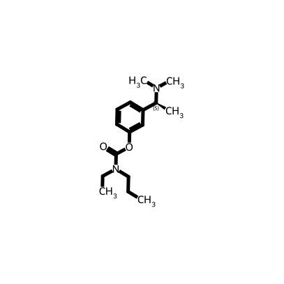 CCCN(CC)C(=O)Oc1cccc([C@H](C)N(C)C)c1